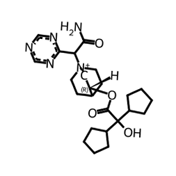 NC(=O)C(c1ncncn1)[N+]12CCC(CC1)[C@@H](OC(=O)C(O)(C1CCCC1)C1CCCC1)C2